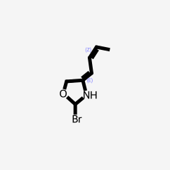 C/C=C\C=C1/COC(Br)N1